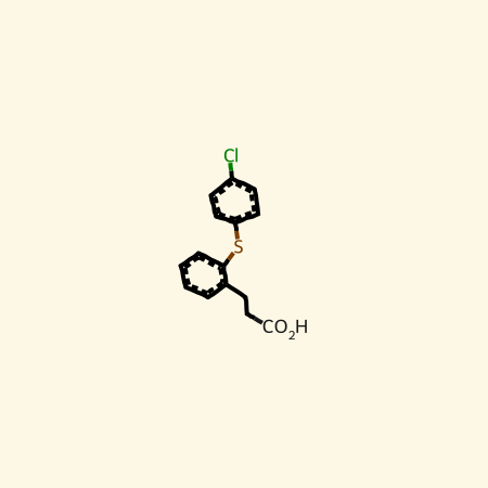 O=C(O)CCc1ccccc1Sc1ccc(Cl)cc1